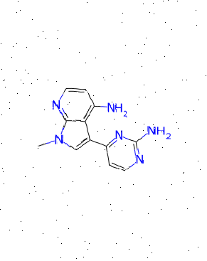 Cn1cc(-c2ccnc(N)n2)c2c(N)ccnc21